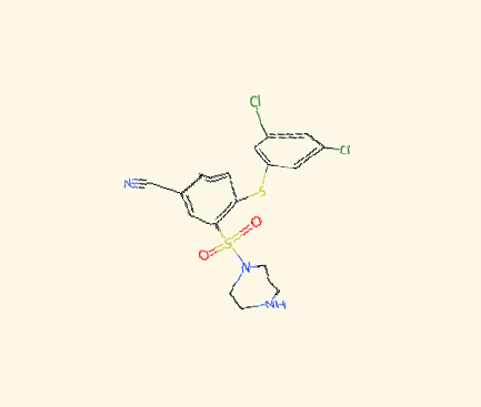 N#Cc1ccc(Sc2cc(Cl)cc(Cl)c2)c(S(=O)(=O)N2CCNCC2)c1